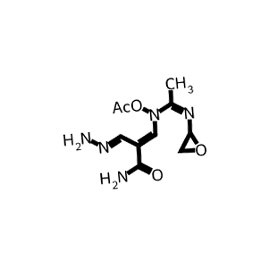 CC(=O)ON(/C=C(\C=N\N)C(N)=O)/C(C)=N\C1CO1